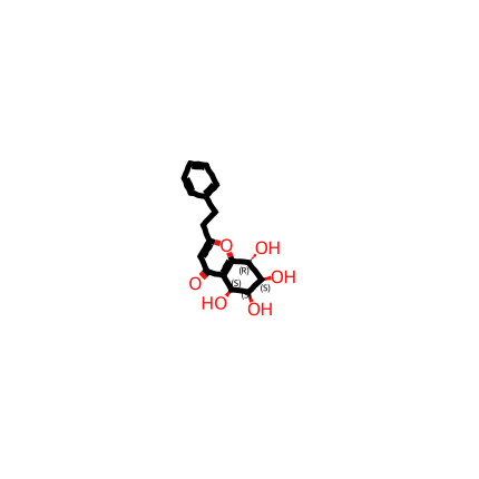 O=c1cc(CCc2ccccc2)oc2c1[C@H](O)[C@H](O)[C@H](O)[C@H]2O